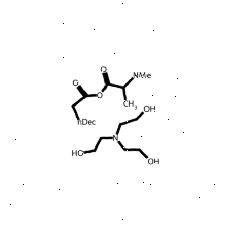 CCCCCCCCCCCC(=O)OC(=O)C(C)NC.OCCN(CCO)CCO